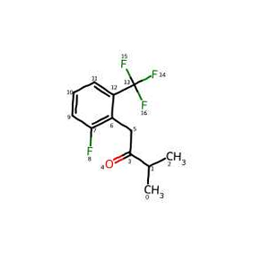 CC(C)C(=O)Cc1c(F)cccc1C(F)(F)F